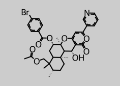 CC(=O)OCC1(C)C2C[C@H](OC(=O)c3ccc(Br)cc3)[C@@]3(C)Oc4cc(-c5cccnc5)oc(=O)c4[C@H](O)C3[C@@]2(C)CC[C@@H]1C